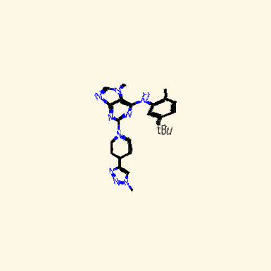 Cc1ccc(C(C)(C)C)cc1Nc1nc(N2CCC(c3cn(C)nn3)CC2)nc2ncn(C)c12